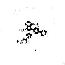 C=CC(=O)N1CC[C@@H](c2c(-c3ccc(C4CCOCC4)cc3)c3c(N)ncnc3n2C)C1